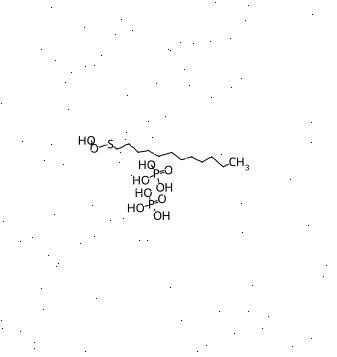 CCCCCCCCCCCCSOO.O=P(O)(O)O.O=P(O)(O)O